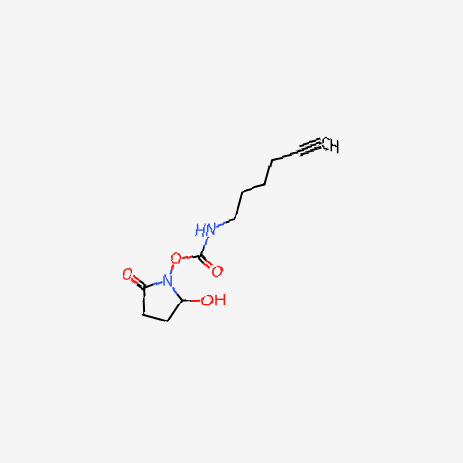 C#CCCCCNC(=O)ON1C(=O)CCC1O